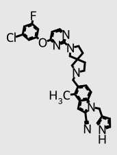 Cc1c(CN2CCC3(CCN(c4nccc(Oc5cc(F)cc(Cl)c5)n4)C3)C2)ccc2c1cc(C#N)n2Cc1cc[nH]c1